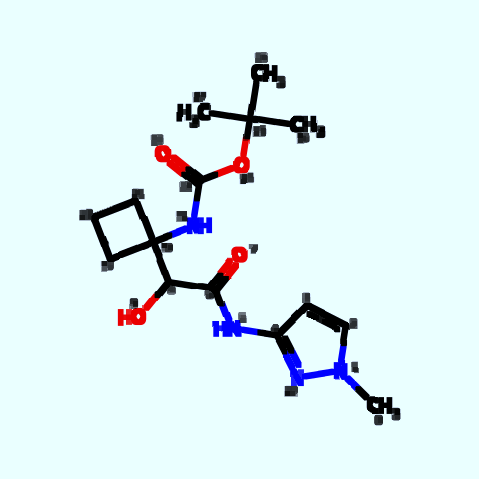 Cn1ccc(NC(=O)C(O)C2(NC(=O)OC(C)(C)C)CCC2)n1